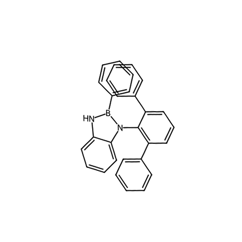 c1ccc(B2Nc3ccccc3N2c2c(-c3ccccc3)cccc2-c2ccccc2)cc1